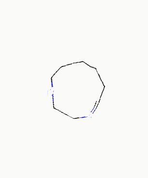 C1=NCCNCCCCC1